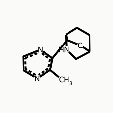 Cc1nccnc1C1CC2CCC1NC2